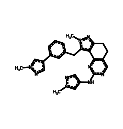 Cn1cc(Nc2ncc3c(n2)-c2c(nn(C)c2Cc2cccc(-c4cnn(C)c4)c2)CC3)cn1